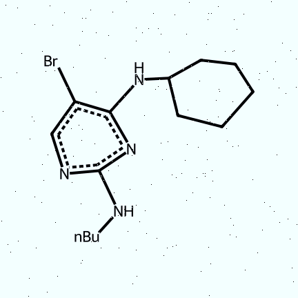 CCCCNc1ncc(Br)c(NC2CCCCC2)n1